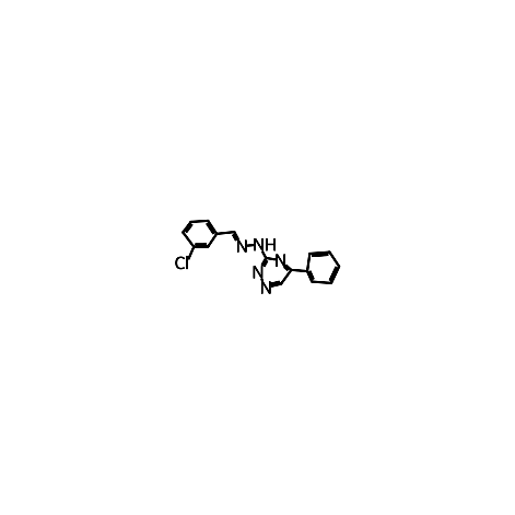 Clc1cccc(/C=N/Nc2nncc(-c3ccccc3)n2)c1